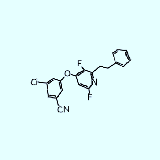 N#Cc1cc(Cl)cc(Oc2cc(F)nc(CCc3ccccc3)c2F)c1